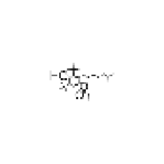 CCC(=O)Oc1cc(C(C)(C)C)c(O)c(C(C)(C)C)c1CCCCCC(C)C